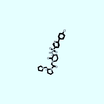 O=C1[C@@H](NS(=O)(=O)c2ccc(-c3ccc(Cl)cc3)nc2)CCCN1CC(=O)N1CCC[C@H]1CN1CCCC1